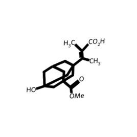 COC(=O)C12CC3CC(O)(C1)CC(C(C)=C(C)C(=O)O)(C3)C2